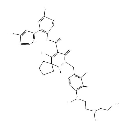 CCN(CCN(C)CCOC)c1ccc(CN2C(=O)C(C(=O)Nc3ccc(C(F)(F)F)cc3-c3cc(C(F)(F)F)ncn3)=C(O)C3(CCCC3)N2C)c(F)c1F